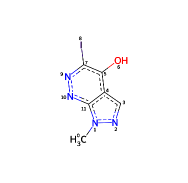 Cn1ncc2c(O)c(I)nnc21